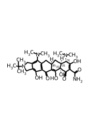 CN(C)c1c2c(c(O)c3c1C[C@H]1C[C@H]4[C@H](N(C)C)C(O)=C(C(N)=O)C(=O)[C@@]4(O)C(O)=C1C3=O)CN(C(C)(C)C)C2